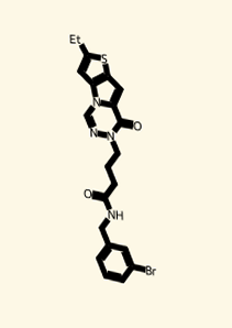 CCc1cc2c(cc3c(=O)n(CCCC(=O)NCc4cccc(Br)c4)ncn32)s1